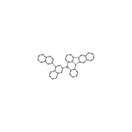 CC12c3cc4ccccc4cc3-c3cccc(c31)N(c1cc(-c3ccc4ccccc4c3)c3ccccc3c1)c1ccccc12